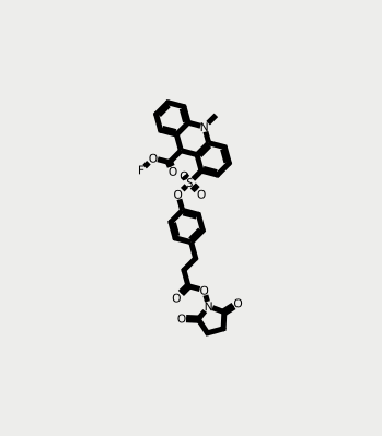 CN1c2ccccc2C(C(=O)OF)c2c1cccc2S(=O)(=O)Oc1ccc(CCC(=O)ON2C(=O)CCC2=O)cc1